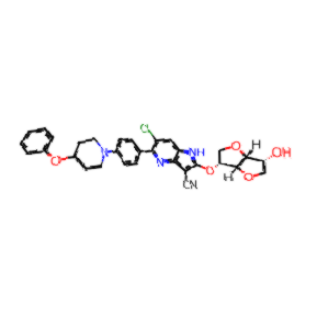 N#Cc1c(O[C@@H]2CO[C@H]3[C@@H]2OC[C@H]3O)[nH]c2cc(Cl)c(-c3ccc(N4CCC(Oc5ccccc5)CC4)cc3)nc12